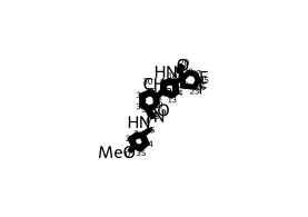 COc1ccc(CNc2noc3c(-c4ccc5c(c4)NC(=O)C54CCC(F)(F)CC4)c(C)ccc23)cc1